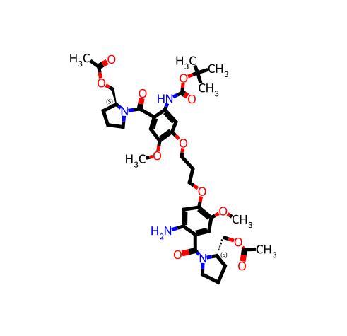 COc1cc(C(=O)N2CCC[C@H]2COC(C)=O)c(N)cc1OCCCOc1cc(NC(=O)OC(C)(C)C)c(C(=O)N2CCC[C@H]2COC(C)=O)cc1OC